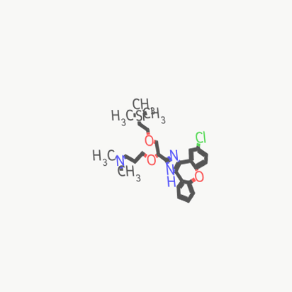 CN(C)CCCOC(COCC[Si](C)(C)C)c1nc2c([nH]1)-c1ccccc1Oc1ccc(Cl)cc1-2